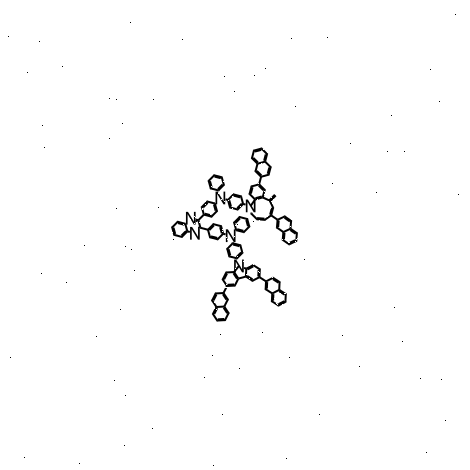 C=C1/C=C(c2ccc3ccccc3c2)\C=C/CN(c2ccc(N(c3ccccc3)c3ccc(-c4nc5ccccc5nc4-c4ccc(N(c5ccccc5)c5ccc(-n6c7ccc(-c8ccc9ccccc9c8)cc7c7cc(-c8ccc9ccccc9c8)ccc76)cc5)cc4)cc3)cc2)c2ccc(-c3ccc4ccccc4c3)cc21